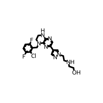 OCCNCCn1cc(-c2cnc3c(n2)N(Cc2c(F)ccc(F)c2Cl)CCN3)cn1